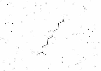 C=CCCCCCCC=C(C)C